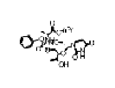 CCCOC(=O)[C@H](C)NP(=O)(OC[C@@H](O[C@H](CC#N)n1ccc(=O)[nH]c1=O)C(C)O)Oc1ccccc1